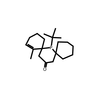 CC1=CCCCC12CC(=O)CC1(CCCCC1)P2C(C)(C)C